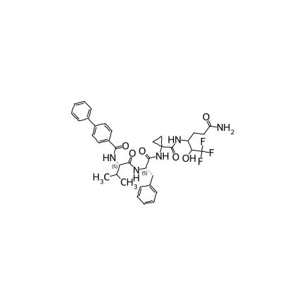 CC(C)[C@H](NC(=O)c1ccc(-c2ccccc2)cc1)C(=O)N[C@@H](Cc1ccccc1)C(=O)NC1(C(=O)NC(CCC(N)=O)C(O)C(F)(F)F)CC1